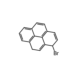 BrC1C=Cc2ccc3cccc4c3c2C1=CC4